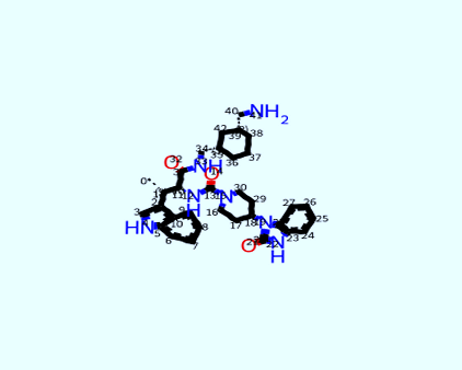 C[C@@H](c1c[nH]c2ccccc12)[C@@H](NC(=O)N1CCC(n2c(=O)[nH]c3ccccc32)CC1)C(=O)NC[C@H]1CCC[C@@H](CN)C1